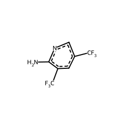 Nc1ncc(C(F)(F)F)cc1C(F)(F)F